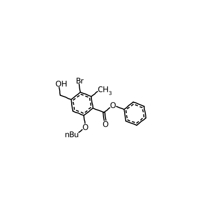 CCCCOc1cc(CO)c(Br)c(C)c1C(=O)Oc1ccccc1